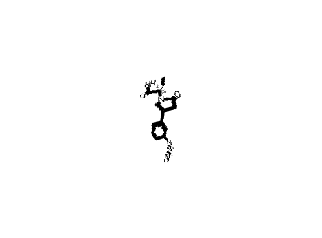 CC[C@@H](C(N)=O)N1CC(c2cccc(N=[N+]=[N-])c2)CC1=O